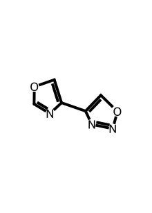 c1nc(-c2conn2)co1